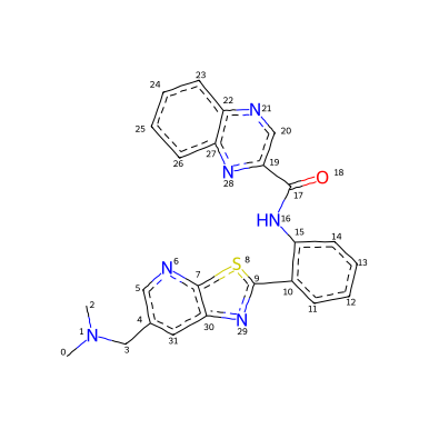 CN(C)Cc1cnc2sc(-c3ccccc3NC(=O)c3cnc4ccccc4n3)nc2c1